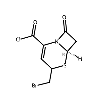 O=C(Cl)C1=CC(CBr)S[C@@H]2CC(=O)N12